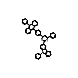 c1ccc(-c2cc(-c3ccc(-c4c5ccccc5c(-c5ccccc5)c5ccccc45)cc3)nc(-c3ccc4c(c3)c3cnccc3n4-c3ccccc3)n2)cc1